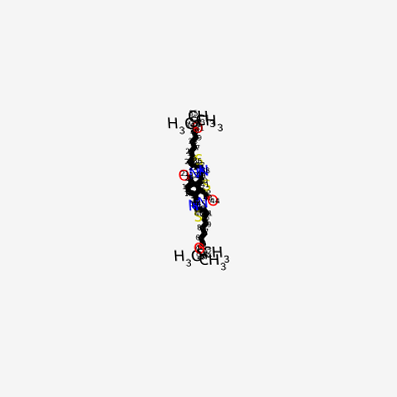 C[Si](C)(C)OCCCCCc1cc2c(nc3c4ccc5c(=O)n6c7cc(CCCCCO[Si](C)(C)C)sc7nc6c6sc(c(=O)n23)c4c56)s1